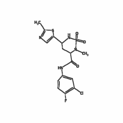 Cc1ncc(C2CC(C(=O)Nc3ccc(F)c(Cl)c3)N(C)S(=O)(=O)N2)s1